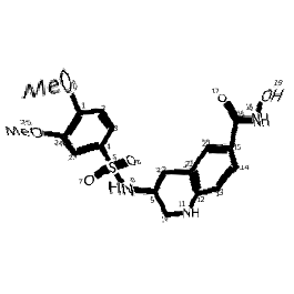 COc1ccc(S(=O)(=O)NC2CNc3ccc(C(=O)NO)cc3C2)cc1OC